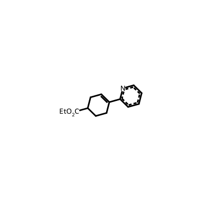 CCOC(=O)C1CC=C(c2ccccn2)CC1